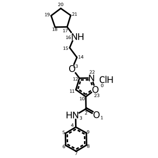 Cl.O=C(Nc1ccccc1)c1cc(OCCNC2CCCC2)no1